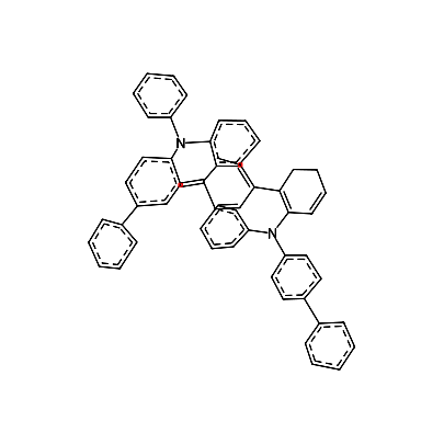 C=C(/C=C\C(=C/C)C1=C(N(c2ccccc2)c2ccc(-c3ccccc3)cc2)C=CCC1)c1ccccc1N(c1ccccc1)c1ccc(-c2ccccc2)cc1